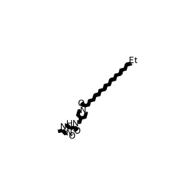 CCC=CCC=CCC=CCC=CCC=CCCCC(=O)N1CCC(CNC(=O)c2cnc(C)c[n+]2[O-])CC1